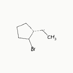 C[CH]C1CCCC1Br